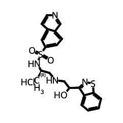 C[C@H](CNCC(O)c1nsc2ccccc12)NS(=O)(=O)c1ccc2cnccc2c1.Cl